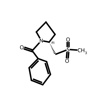 CS(=O)(=O)C[C@H]1CCCN1C(=O)c1ccccc1